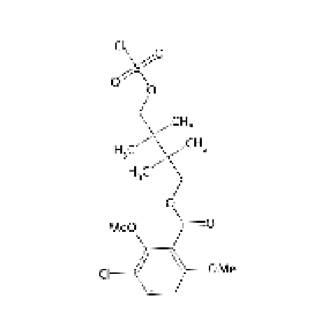 COc1ccc(Cl)c(OC)c1C(=O)OCC(C)(C)C(C)(C)COS(=O)(=O)Cl